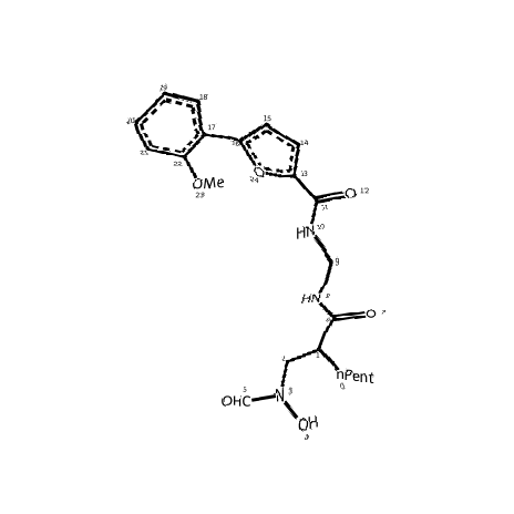 CCCCCC(CN(O)C=O)C(=O)NCNC(=O)c1ccc(-c2ccccc2OC)o1